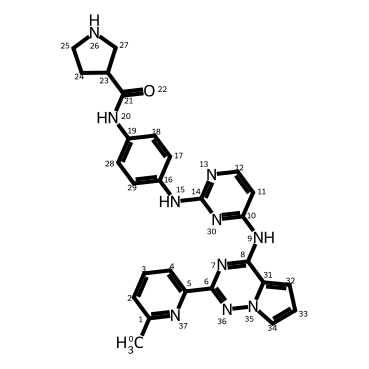 Cc1cccc(-c2nc(Nc3ccnc(Nc4ccc(NC(=O)C5CCNC5)cc4)n3)c3cccn3n2)n1